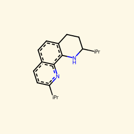 CC(C)c1ccc2ccc3c(c2n1)NC(C(C)C)CC3